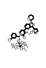 Cn1nccc1-c1nn(C2CCCCO2)c2ccc(-c3ccn([C@H](CO[Si](C)(C)C(C)(C)C)c4cccc(Cl)c4)c(=O)c3)cc12